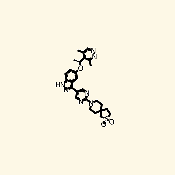 Cc1cnnc(C)c1[C@H](C)Oc1ccc2[nH]nc(-c3cnc(N4CCC5(CC4)CCS(=O)(=O)C5)nc3)c2c1